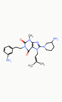 CC(C)=CCn1c(N2CCCC(N)C2)nc2c1c(=O)n(CCc1cccc(N)c1)c(=O)n2C